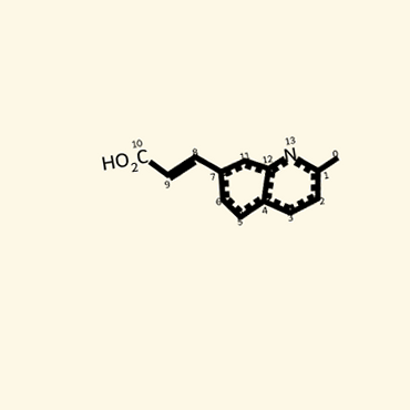 Cc1ccc2ccc(/C=C/C(=O)O)cc2n1